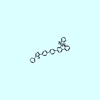 C1=CCCC(c2ccc(-c3ccc(-c4ccc(-c5ccc6c7ccccc7n7c8ccccc8nc7c6c5)cc4)cc3)s2)=C1